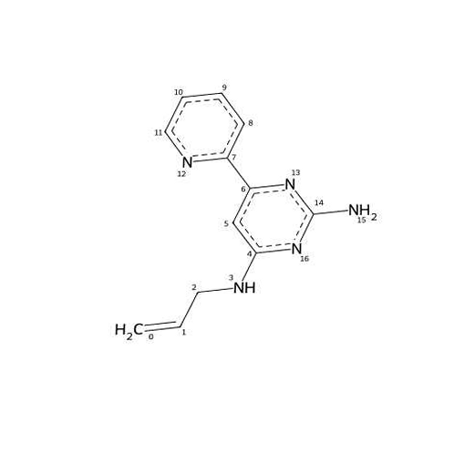 C=CCNc1cc(-c2ccccn2)nc(N)n1